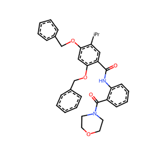 CC(C)c1cc(C(=O)Nc2ccccc2C(=O)N2CCOCC2)c(OCc2ccccc2)cc1OCc1ccccc1